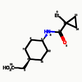 CCC1(C(=O)N[C@H]2CC[C@H](CC(=O)O)CC2)CC1